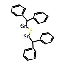 c1ccc([CH]([Sn][S][Sn][CH](c2ccccc2)c2ccccc2)c2ccccc2)cc1